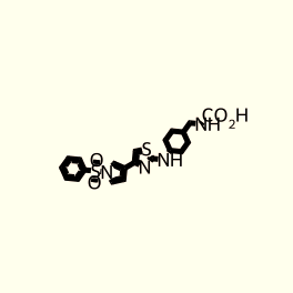 O=C(O)NCC1CCC(Nc2nc(-c3ccn(S(=O)(=O)c4ccccc4)c3)cs2)CC1